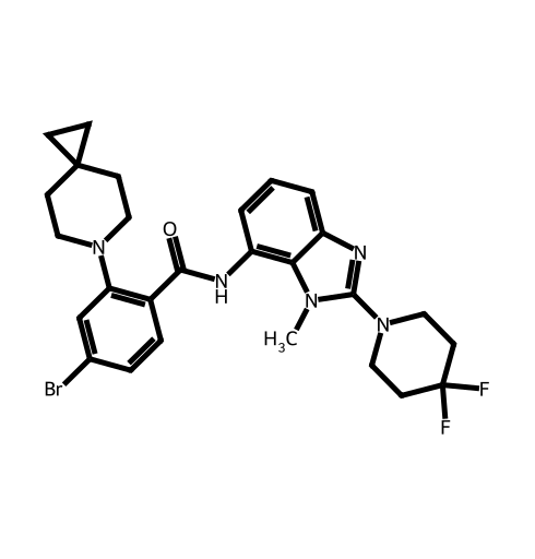 Cn1c(N2CCC(F)(F)CC2)nc2cccc(NC(=O)c3ccc(Br)cc3N3CCC4(CC3)CC4)c21